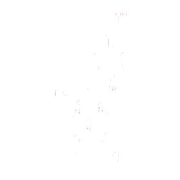 OCCc1ccc(Nc2cc(C(F)(F)F)nc(-c3cccc(Cl)c3)n2)cc1